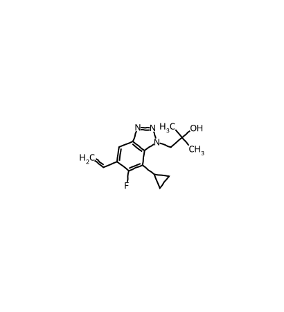 C=Cc1cc2nnn(CC(C)(C)O)c2c(C2CC2)c1F